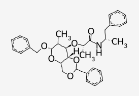 CC1[C@@H](OCc2ccccc2)OC2COC(c3ccccc3)O[C@H]2[C@@H]1O[C@@H](C)C(=O)N[C@@H](C)Cc1ccccc1